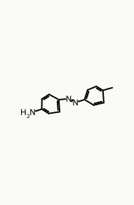 Cc1ccc(/N=N/c2ccc(N)cc2)cc1